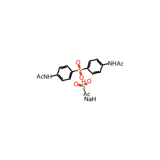 CC(=O)Nc1ccc(S(=O)(=O)c2ccc(NC(C)=O)cc2)cc1.CC(=O)[SH](=O)=O.[NaH]